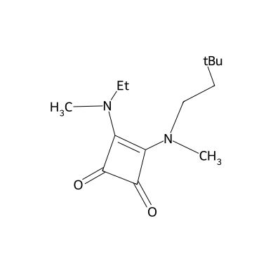 CCN(C)c1c(N(C)CCC(C)(C)C)c(=O)c1=O